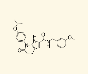 COc1cccc(CNC(=O)c2cc3ccc(=O)n(-c4ccc(OC(C)C)cc4)c3[nH]2)c1